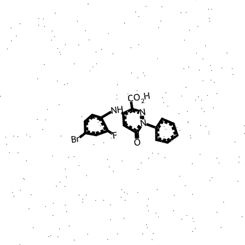 O=C(O)c1nn(-c2ccccc2)c(=O)cc1Nc1ccc(Br)cc1F